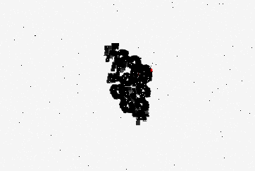 N#Cc1cc(-n2c3ccccc3c3ccc(-c4ccc(C(F)(F)F)cc4C(F)(F)F)cc32)c(-n2c3ccccc3c3ccc(-c4ccc(C(F)(F)F)cc4C(F)(F)F)cc32)cc1-c1cccc(-c2ccccc2)n1